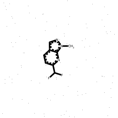 Cn1ncc2ccc(C(F)F)nc21